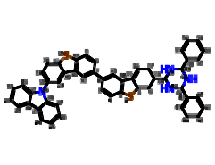 C1=c2sc3ccc(-c4ccc5sc6ccc(-n7c8ccccc8c8ccccc87)cc6c5c4)cc3c2=CCC1C1NC(c2ccccc2)NC(c2ccccc2)N1